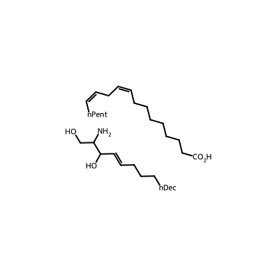 CCCCC/C=C\C/C=C\CCCCCCCC(=O)O.CCCCCCCCCCCCC/C=C/C(O)C(N)CO